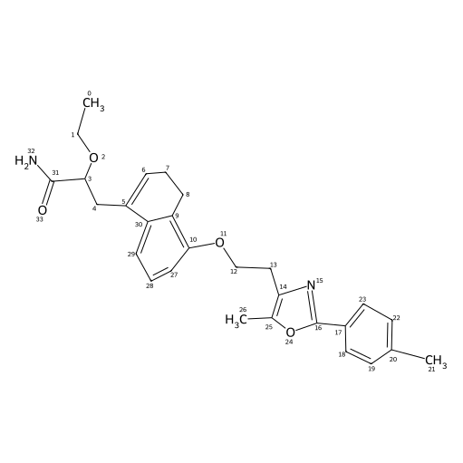 CCOC(CC1=CCCc2c(OCCc3nc(-c4ccc(C)cc4)oc3C)cccc21)C(N)=O